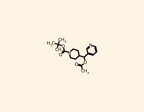 CC(=O)OC(c1cccnc1)C1CCN(C(=O)OC(C)(C)C)CC1